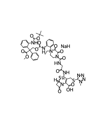 CC[N+]1(c2ccccc2NC(=O)OCC(C(=O)OC)(c2ccccc2)c2ccccc2NC(=O)OC(C)(C)C)CCN(C(=O)NCC(=O)N[C@@H]2S[C@H]3CC(=O)N3C(C(=O)O)=C2CSc2nnnn2C)C(=O)C1=O.[NaH]